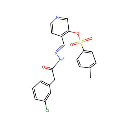 Cc1ccc(S(=O)(=O)Oc2cnccc2/C=N/NC(=O)Cc2cccc(Cl)c2)cc1